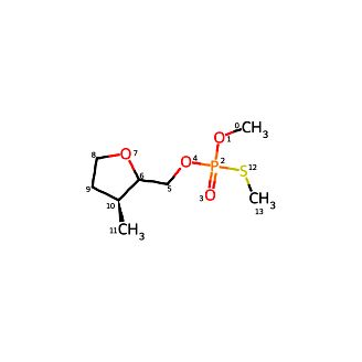 COP(=O)(OCC1OCC[C@@H]1C)SC